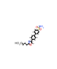 NS(=O)(=O)c1ccc(-c2ccc(-c3coc(CCCC(=O)O)n3)cc2)cc1